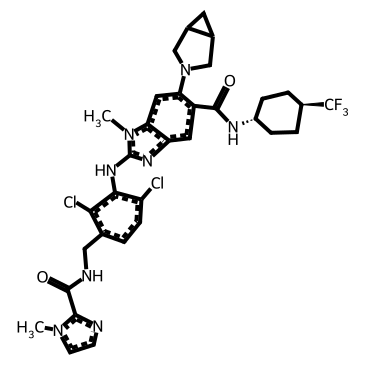 Cn1ccnc1C(=O)NCc1ccc(Cl)c(Nc2nc3cc(C(=O)N[C@H]4CC[C@H](C(F)(F)F)CC4)c(N4CC5CC5C4)cc3n2C)c1Cl